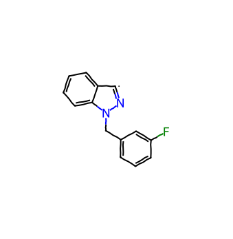 Fc1cccc(Cn2n[c]c3ccccc32)c1